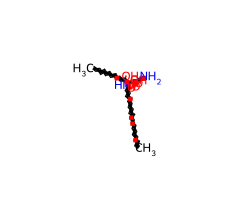 CCCCCCCCCCC/C=C/[C@@H](O)[C@H](COP(=O)(O)OCCN)NC(=O)CCCCCCCCCCCCCCCCCCCCCC